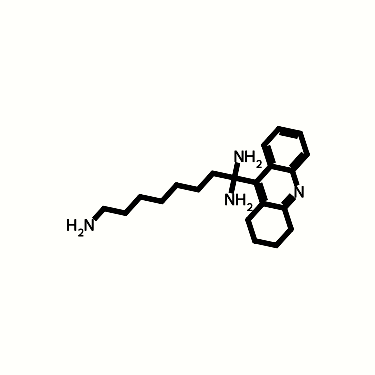 NCCCCCCCC(N)(N)c1c2c(nc3ccccc13)CCCC2